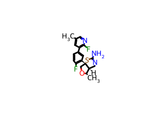 Cc1cnc(F)c(-c2ccc(F)c([C@]34CO[C@H](C)[C@@H]3CN=C(N)S4)c2)c1